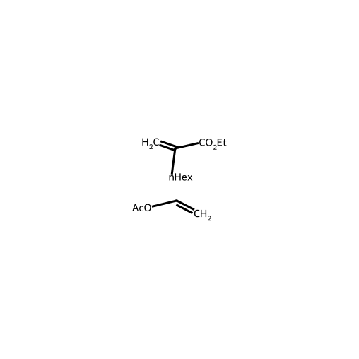 C=C(CCCCCC)C(=O)OCC.C=COC(C)=O